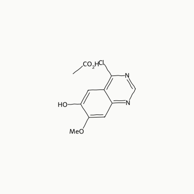 CC(=O)O.COc1cc2ncnc(Cl)c2cc1O